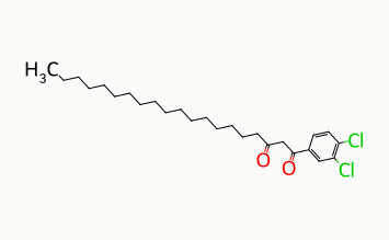 CCCCCCCCCCCCCCCCCC(=O)CC(=O)c1ccc(Cl)c(Cl)c1